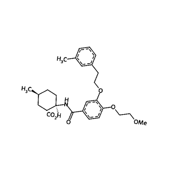 COCCOc1ccc(C(=O)N[C@]2(C(=O)O)CC[C@H](C)CC2)cc1OCCc1cccc(C)c1